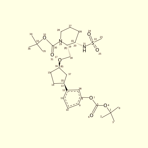 CC(C)(C)OC(=O)Oc1cccc([C@H]2CC[C@@H](OC[C@H]3[C@@H](NS(C)(=O)=O)CCCN3C(=O)OC(C)(C)C)C2)c1